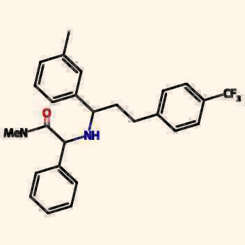 CNC(=O)C(NC(CCc1ccc(C(F)(F)F)cc1)c1cccc(C)c1)c1ccccc1